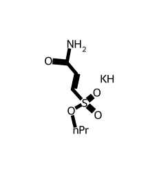 CCCOS(=O)(=O)C=CC(N)=O.[KH]